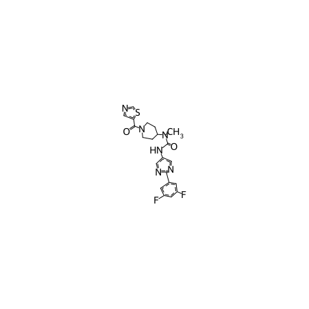 CN(C(=O)Nc1cnc(-c2cc(F)cc(F)c2)nc1)C1CCN(C(=O)c2cncs2)CC1